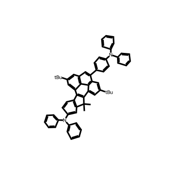 CC(C)(C)c1cc2cc(-c3ccc(N(c4ccccc4)c4ccccc4)cc3)c3cc(C(C)(C)C)cc4c5c(c(c1)c2c34)-c1ccc(N(c2ccccc2)c2ccccc2)cc1C5(C)C